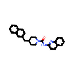 O=C(Nc1ccc2ccccc2n1)N1CCC(Cc2ccc3ccccc3c2)CC1